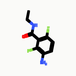 CCNC(=O)c1c(F)ccc(N)c1F